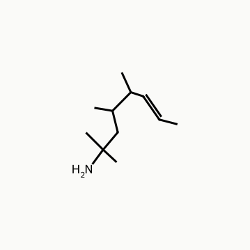 CC=CC(C)C(C)CC(C)(C)N